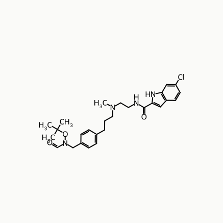 CN(CCCc1ccc(CN(C=O)OC(C)(C)C)cc1)CCNC(=O)c1cc2ccc(Cl)cc2[nH]1